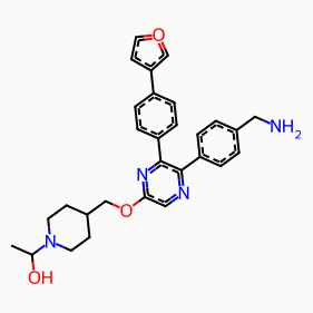 CC(O)N1CCC(COc2cnc(-c3ccc(CN)cc3)c(-c3ccc(-c4ccoc4)cc3)n2)CC1